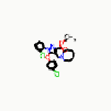 CCOC(=O)c1nn(-c2ccccc2Cl)c(Oc2ccc(Cl)cc2)c1CN1CCCCCCC1